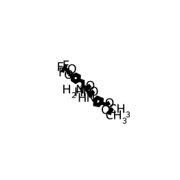 CC(C)OC(=O)c1ccc(NC(=O)NC(=O)[C@@H](N)Cc2ccc(OC(=O)C(F)(F)F)cc2)cc1